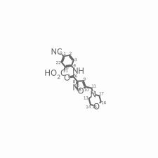 N#Cc1ccc(NC(=O)c2cc(CN3CCOCC3)on2)c(C(=O)O)c1